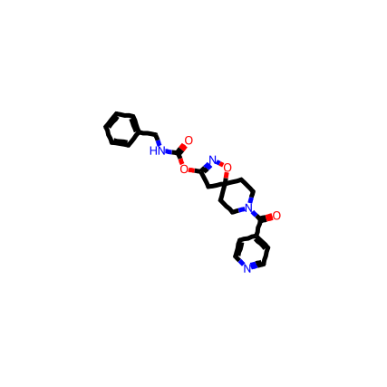 O=C(NCc1ccccc1)OC1=NOC2(CCN(C(=O)c3ccncc3)CC2)C1